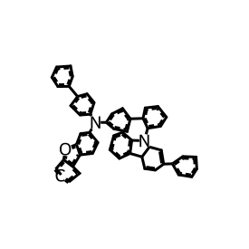 C1=CC2c3ccccc3N(c3ccccc3-c3ccc(N(c4ccc(-c5ccccc5)cc4)c4ccc5c(c4)oc4ccccc45)cc3)C2C=C1c1ccccc1